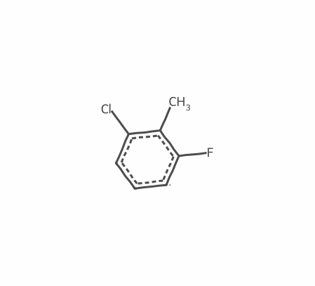 Cc1c(F)[c]ccc1Cl